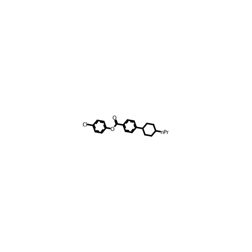 CCCC1CCC(c2ccc(C(=O)Oc3ccc(Cl)cc3)cc2)CC1